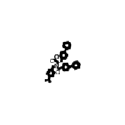 CC(C)c1ccc(CN(C(=O)c2ccc(-c3ccccc3)cc2)[C@@H](Cc2ccc(-c3ccccc3)cc2)C(=O)O)cc1